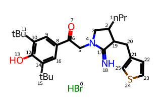 Br.CCCC1CN(CC(=O)c2cc(C(C)(C)C)c(O)c(C(C)(C)C)c2)C(=N)C1Cc1ccsc1